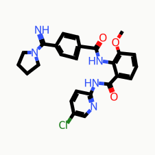 COc1cccc(C(=O)Nc2ccc(Cl)cn2)c1NC(=O)c1ccc(C(=N)N2CCCC2)cc1